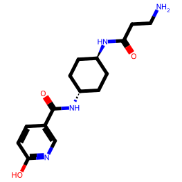 NCCC(=O)N[C@H]1CC[C@H](NC(=O)c2ccc(O)nc2)CC1